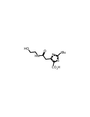 CC(C)(C)c1nc(CC(=O)NCCO)c(C(=O)O)s1